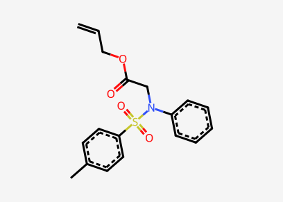 C=CCOC(=O)CN(c1ccccc1)S(=O)(=O)c1ccc(C)cc1